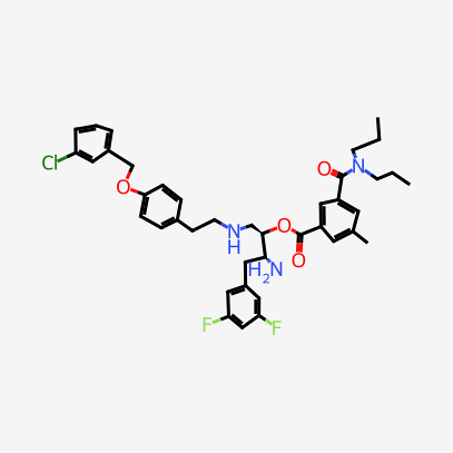 CCCN(CCC)C(=O)c1cc(C)cc(C(=O)O[C@H](CNCCc2ccc(OCc3cccc(Cl)c3)cc2)[C@@H](N)Cc2cc(F)cc(F)c2)c1